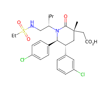 CCS(=O)(=O)NC[C@H](C(C)C)N1C(=O)[C@](C)(CC(=O)O)C[C@H](c2cccc(Cl)c2)[C@H]1c1ccc(Cl)cc1